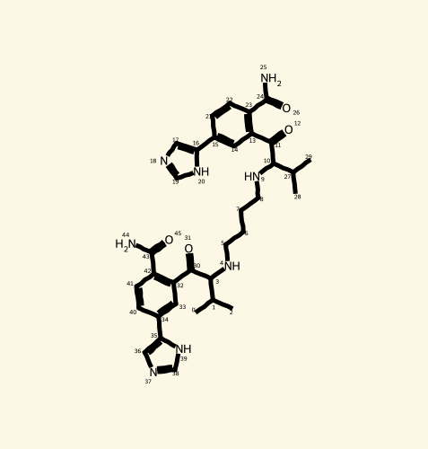 CC(C)C(NCCCCNC(C(=O)c1cc(-c2cnc[nH]2)ccc1C(N)=O)C(C)C)C(=O)c1cc(-c2cnc[nH]2)ccc1C(N)=O